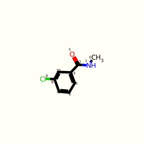 CNC(=O)c1cc[c]c(Cl)c1